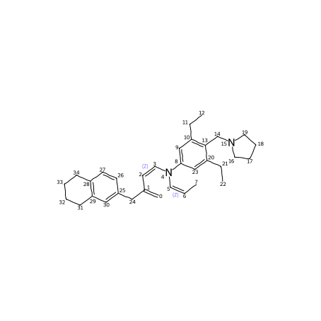 C=C(/C=C\N(/C=C\C)c1cc(CC)c(CN2CCCC2)c(CC)c1)Cc1ccc2c(c1)CCCC2